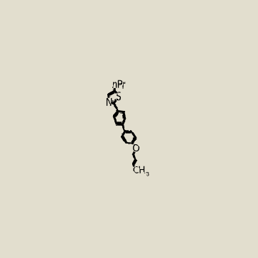 CC=CCOc1ccc(-c2ccc(-c3ncc(CCC)s3)cc2)cc1